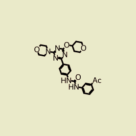 CC(=O)c1cccc(NC(=O)Nc2ccc(-c3nc(OC4CCOCC4)nc(N4CCOCC4)n3)cc2)c1